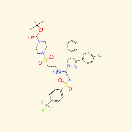 CC(C)(C)OC(=O)N1CCN(S(=O)(=O)CCN/C(=N\S(=O)(=O)c2ccc(C(F)(F)F)cc2)N2CC(c3ccccc3)C(c3ccc(Cl)cc3)=N2)CC1